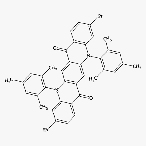 Cc1cc(C)c(-n2c3cc(C(C)C)ccc3c(=O)c3cc4c(cc32)c(=O)c2ccc(C(C)C)cc2n4-c2c(C)cc(C)cc2C)c(C)c1